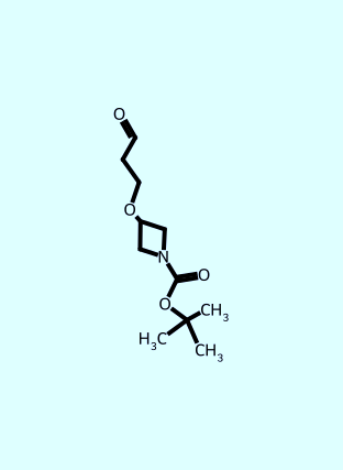 CC(C)(C)OC(=O)N1CC(OCCC=O)C1